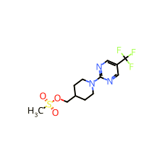 CS(=O)(=O)OCC1CCN(c2ncc(C(F)(F)F)cn2)CC1